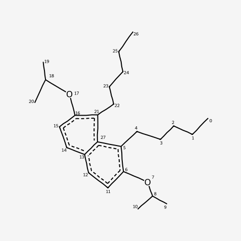 CCCCCc1c(OC(C)C)ccc2ccc(OC(C)C)c(CCCCC)c12